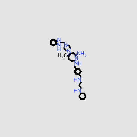 C/C1=C(N2CCN(Cc3nc4ccccc4[nH]3)CC2)/C=C(N)\N=C(\NCc2ccc(CNCCCNC3CCCCC3)cc2)CC1